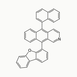 c1ccc2c(-c3c4ccccc4c(-c4cccc5c4oc4ccccc45)c4cnccc34)cccc2c1